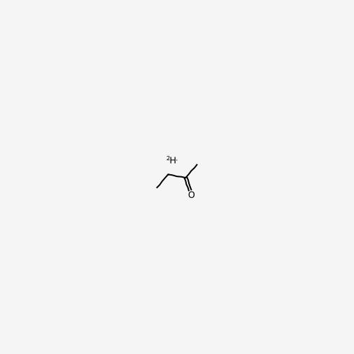 CCC(C)=O.[2H]